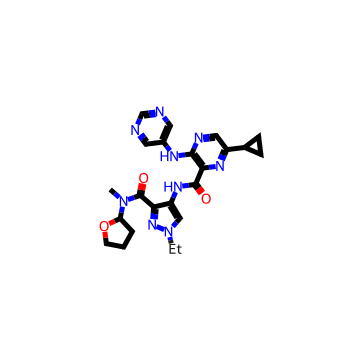 CCn1cc(NC(=O)c2nc(C3CC3)cnc2Nc2cncnc2)c(C(=O)N(C)C2CCCO2)n1